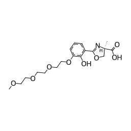 COCCOCCOCCOc1cccc(C2=N[C@@](C)(C(=O)O)CO2)c1O